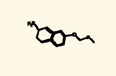 BC1C=c2cc(OCOC)ccc2=CC1